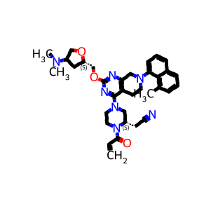 C=CC(=O)N1CCN(c2nc(OC[C@@H]3CC(N(C)C)CO3)nc3c2CCN(c2cccc4cccc(C)c24)C3)C[C@@H]1CC#N